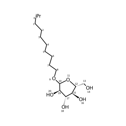 CC(C)CCCCCCCCOC1O[C@H](CO)[C@@H](O)[C@H](O)[C@H]1O